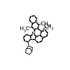 Cc1c2ccccc2c(C)c2c1c1c3c(ccc4c5c(C6CC7CCC6C7)cccc5n2c43)cc[n+]1C